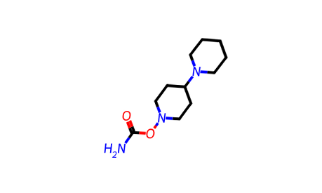 NC(=O)ON1CCC(N2CCCCC2)CC1